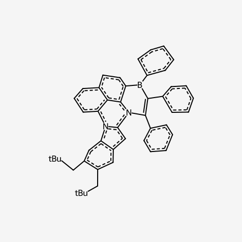 CC(C)(C)Cc1cc2cc3n4c5c(ccc6cccc(c65)n3c2cc1CC(C)(C)C)B(c1ccccc1)C(c1ccccc1)=C4c1ccccc1